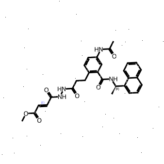 COC(=O)/C=C/C(=O)NNC(=O)CCc1ccc(NC(C)=O)cc1C(=O)N[C@H](C)c1cccc2ccccc12